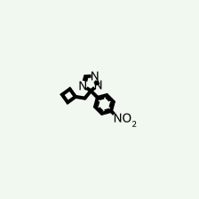 O=[N+]([O-])c1ccc(C2(CC3CCC3)N=CN=N2)cc1